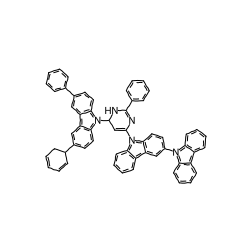 C1=CCC(c2ccc3c(c2)c2cc(-c4ccccc4)ccc2n3C2C=C(n3c4ccccc4c4cc(-n5c6ccccc6c6ccccc65)ccc43)N=C(c3ccccc3)N2)C=C1